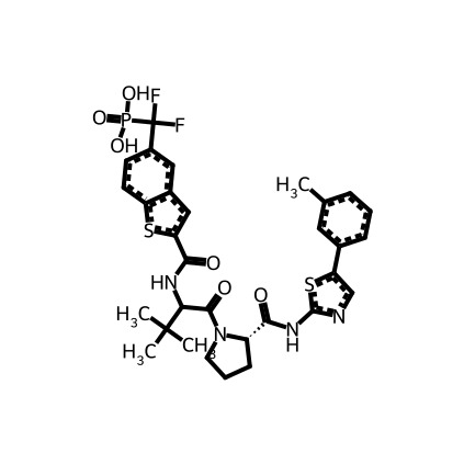 Cc1cccc(-c2cnc(NC(=O)[C@@H]3CCCN3C(=O)C(NC(=O)c3cc4cc(C(F)(F)P(=O)(O)O)ccc4s3)C(C)(C)C)s2)c1